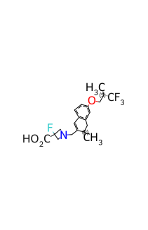 C[C@@H]1Cc2cc(OC[C@H](C)C(F)(F)F)ccc2C=C1CN1CC(F)(C(=O)O)C1